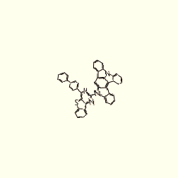 c1ccc(-c2ccc(-c3nc(-n4c5ccccc5c5c6c7ccccc7n7c8ccccc8c(cc54)c67)nc4c3sc3ccccc34)cc2)cc1